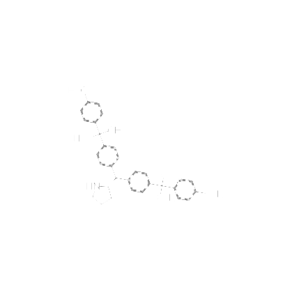 Cc1ccc(C(C)(C)c2ccc(C(c3ccc(C(C)(C)c4ccc(C)cc4)cc3)[C@H]3CCCN3)cc2)cc1